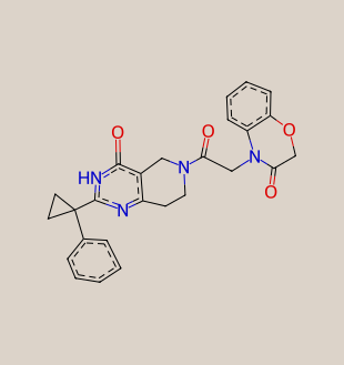 O=C(CN1C(=O)COc2ccccc21)N1CCc2nc(C3(c4ccccc4)CC3)[nH]c(=O)c2C1